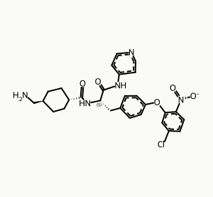 NC[C@H]1CC[C@H](C(=O)N[C@@H](Cc2ccc(Oc3cc(Cl)ccc3[N+](=O)[O-])cc2)C(=O)Nc2ccncc2)CC1